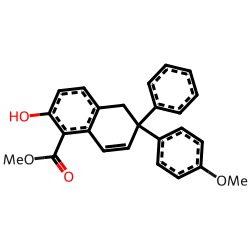 COC(=O)c1c(O)ccc2c1C=CC(c1ccccc1)(c1ccc(OC)cc1)C2